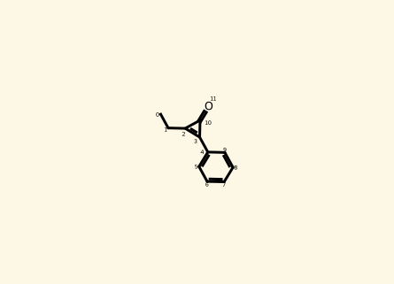 CCc1c(-c2ccccc2)c1=O